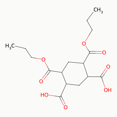 CCCOC(=O)C1CC(C(=O)OCCC)C(C(=O)O)CC1C(=O)O